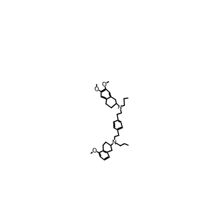 CCCN(CCc1ccc(CCN(CCC)C2CCc3c(cccc3OC)C2)cc1)C1CCc2cc(OC)c(OC)cc2C1